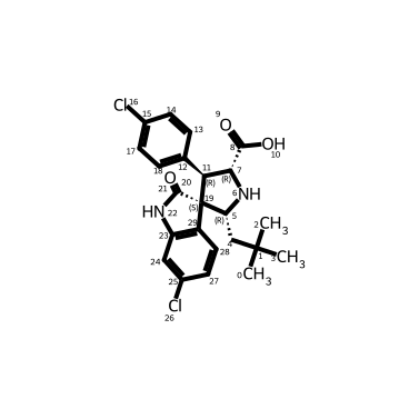 CC(C)(C)C[C@H]1N[C@@H](C(=O)O)[C@H](c2ccc(Cl)cc2)[C@@]12C(=O)Nc1cc(Cl)ccc12